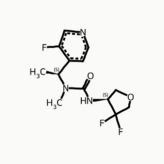 C[C@@H](c1ccncc1F)N(C)C(=O)N[C@H]1COCC1(F)F